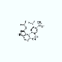 Cc1cc([S+](C)[O-])c(C(F)F)cc1-c1c(C#N)ncc2[nH]nc(OC(F)F)c12